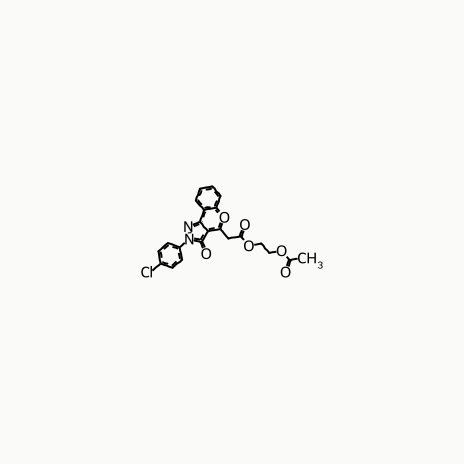 CC(=O)OCCOC(=O)Cc1oc2ccccc2c2nn(-c3ccc(Cl)cc3)c(=O)c1-2